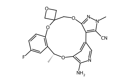 C[C@H]1Oc2cc(cnc2N)-c2c(nn(C)c2C#N)OCC2(COC2)Oc2ccc(F)cc21